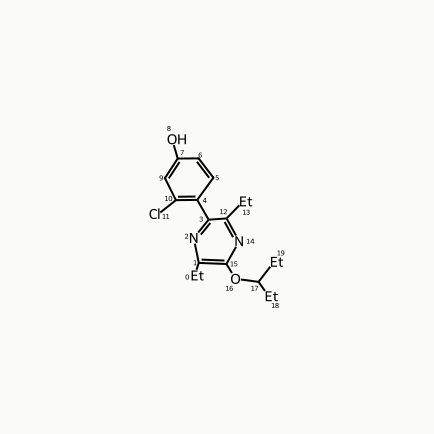 CCc1nc(-c2ccc(O)cc2Cl)c(CC)nc1OC(CC)CC